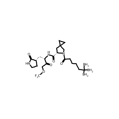 BC(B)(B)CCCCC(=O)N1CC2(CC2)C[C@H]1C(=O)N[C@@H](C[C@@H]1CCNC1=O)C(=O)COC(F)(F)F